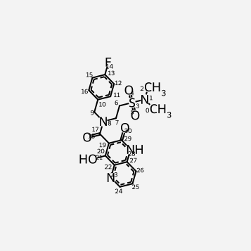 CN(C)S(=O)(=O)CCN(Cc1ccc(F)cc1)C(=O)c1c(O)c2ncccc2[nH]c1=O